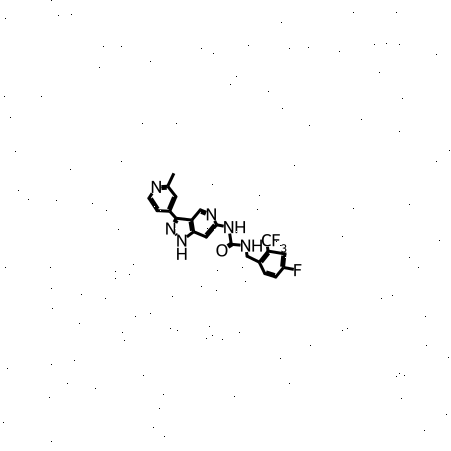 Cc1cc(-c2n[nH]c3cc(NC(=O)NCc4ccc(F)cc4C(F)(F)F)ncc23)ccn1